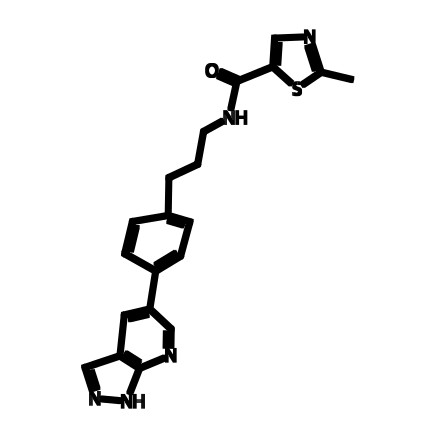 Cc1ncc(C(=O)NCCCc2ccc(-c3cnc4[nH]ncc4c3)cc2)s1